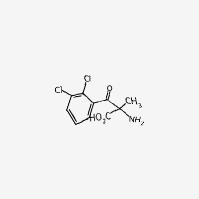 CC(N)(C(=O)O)C(=O)c1cccc(Cl)c1Cl